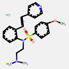 COc1ccc(S(=O)(=O)N(CCN(C)C)c2ccccc2/C=C/c2ccncc2)cc1.Cl